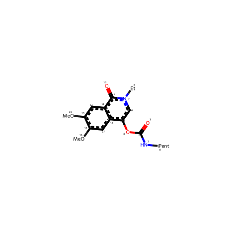 CCCC(C)NC(=O)Oc1cn(CC)c(=O)c2cc(OC)c(OC)cc12